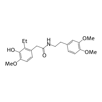 CCc1c(CC(=O)NCCc2ccc(OC)c(OC)c2)ccc(OC)c1O